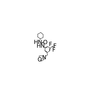 O=C(Nc1cc(CN2CCOCC2)cc(C(F)(F)F)c1)NC1CCCCC1